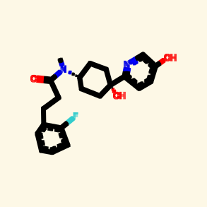 CN(C(=O)CCc1ccccc1F)[C@H]1CC[C@](O)(c2ccc(O)cn2)CC1